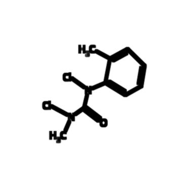 Cc1ccccc1N(Cl)C(=O)N(C)Cl